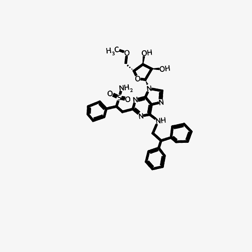 COC[C@H]1O[C@@H](n2cnc3c(NCC(c4ccccc4)c4ccccc4)nc(CC(c4ccccc4)S(N)(=O)=O)nc32)[C@H](O)[C@@H]1O